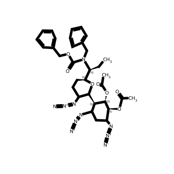 CC[C@@H]([C@@H]1CCC(N=[N+]=[N-])C([C@@H]2C(N=[N+]=[N-])CC(N=[N+]=[N-])[C@H](OC(C)=O)[C@H]2OC(C)=O)O1)N(Cc1ccccc1)C(=O)OCc1ccccc1